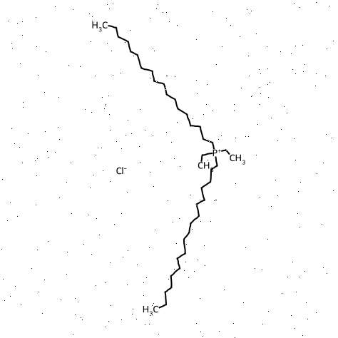 CCCCCCCCCCCCCCCCCC[P+](CC)(CC)CCCCCCCCCCCCCCCCCC.[Cl-]